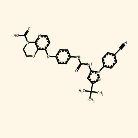 CC(C)(C)c1cc(NC(=O)Nc2ccc(Oc3ccnc4c3OCCN4C(=O)O)cc2)n(-c2ccc(C#N)cc2)n1